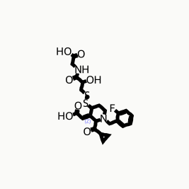 O=C(O)/C=C1\C(SSCC(O)C(=O)NCC(=O)O)CCN(Cc2ccccc2F)C1C(=O)C1CC1